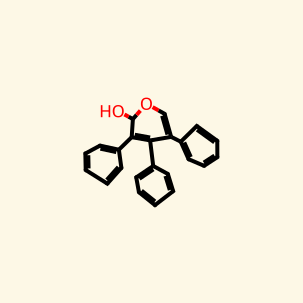 OC1OC=C(c2ccccc2)C(c2ccccc2)=C1c1ccccc1